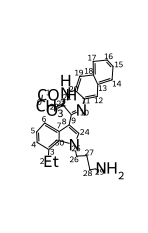 CC(=O)O.CCc1cccc2c(-c3nc4cc5ccccc5cc4[nH]c3=O)cn(CCCN)c12